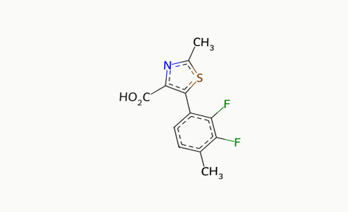 Cc1nc(C(=O)O)c(-c2ccc(C)c(F)c2F)s1